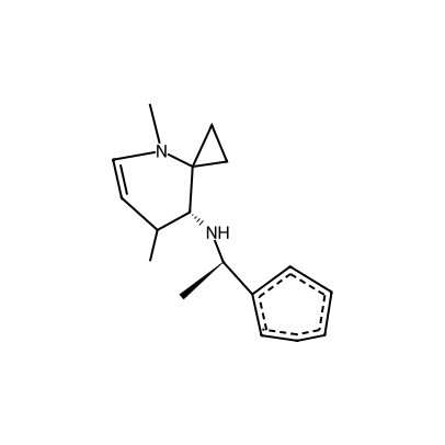 CC1C=CN(C)C2(CC2)[C@@H]1N[C@H](C)c1ccccc1